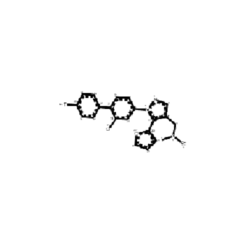 CCN(C)Cc1cnn(-c2ccc(-c3ccc(F)cc3)c(Cl)c2)c1-c1ccco1